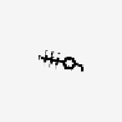 C[CH]c1ccc(C(F)(F)C(F)(F)C(F)(F)F)cc1